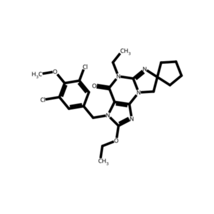 CCOc1nc2c(n1Cc1cc(Cl)c(OC)c(Cl)c1)C(=O)N(CC)C1=NC3(CCCC3)CN12